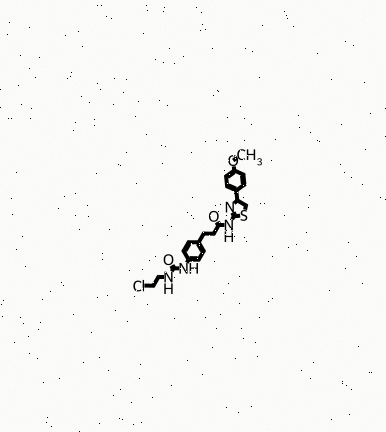 COc1ccc(C2CSC(NC(=O)CCc3ccc(NC(=O)NCCCl)cc3)=N2)cc1